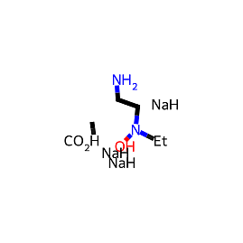 CC(=O)O.CCN(O)CCN.[NaH].[NaH].[NaH]